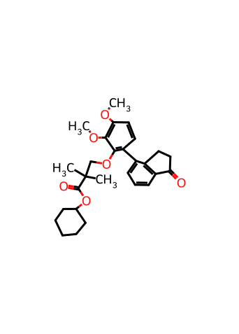 COc1ccc(-c2cccc3c2CCC3=O)c(OCC(C)(C)C(=O)OC2CCCCC2)c1OC